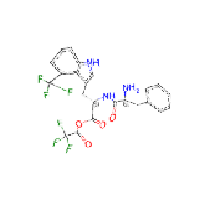 N[C@@H](Cc1ccccc1)C(=O)N[C@@H](Cc1c[nH]c2cccc(C(F)(F)F)c12)C(=O)OC(=O)C(F)(F)F